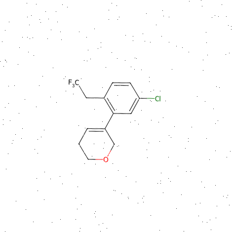 FC(F)(F)Cc1ccc(Cl)cc1C1=CCCOC1